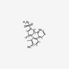 Cc1cc(-c2cccnc2-c2cc(F)cc(S(N)(=O)=O)c2)ccc1C#N